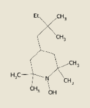 CCC(C)(C)CC1CC(C)(C)N(O)C(C)(C)C1